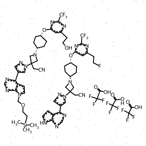 C[Si](C)(C)CCOCn1ccc2c(-c3cnn(C4(CC#N)CN([C@H]5CC[C@@H](Oc6cc(CCO)nc(C(F)(F)F)n6)CC5)C4)c3)ncnc21.N#CCC1(n2cc(-c3ncnc4[nH]ccc34)cn2)CN([C@H]2CC[C@@H](Oc3cc(CCF)nc(C(F)(F)F)n3)CC2)C1.O=C(O)C(F)(F)F.O=C(O)C(F)(F)F.O=C(O)C(F)(F)F